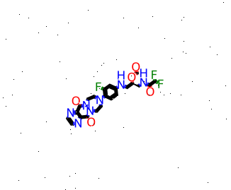 O=CO[C@@H](CNC(=O)C(F)F)CNc1ccc(N2CCn3c(=O)c4nccnc4c(=O)n3CC2)c(F)c1